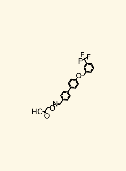 O=C(O)CO/N=C/c1ccc(-c2ccc(OCc3cccc(C(F)(F)F)c3)cc2)cc1